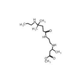 CCCNC(C)(C)CCC(=O)NCCNC(C)CC(=O)OC